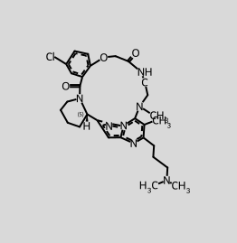 Cc1c(CCCN(C)C)nc2cc3nn2c1N(C)CCNC(=O)COc1ccc(Cl)cc1C(=O)N1CCCC[C@@H]31